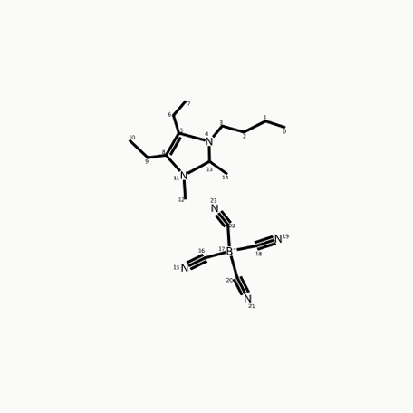 CCCCN1C(CC)=C(CC)N(C)C1C.N#C[B-](C#N)(C#N)C#N